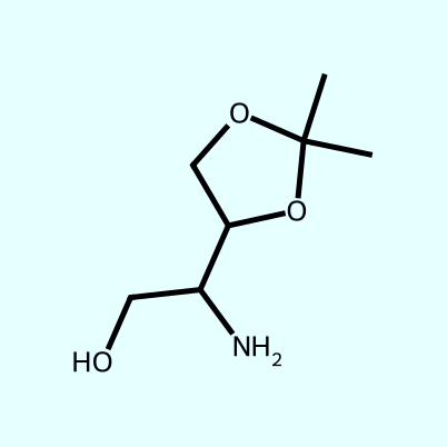 CC1(C)OCC(C(N)CO)O1